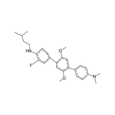 COc1cc(-c2ccc(NCCC(C)C)c(F)c2)c(OC)cc1-c1ccc(N(C)C)cc1